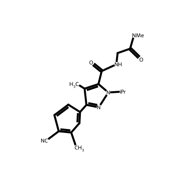 CNC(=O)CNC(=O)c1c(C)c(-c2ccc(C#N)c(C)c2)nn1C(C)C